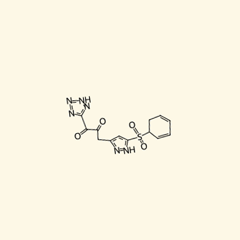 O=C(Cc1cc(S(=O)(=O)C2C=CC=CC2)[nH]n1)C(=O)c1nn[nH]n1